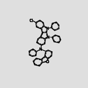 Clc1ccc2c(c1)c1c3ccc(N(c4ccccc4)c4cccc5oc6ccccc6c45)cc3n(-c3ccccc3)c1n2-c1ccccc1